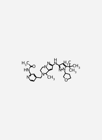 CC(=O)Nc1cc(CN2CCn3nc(Nc4cc(C(C)(C)C)n(C5CCOC5)n4)cc3C2C)ccn1